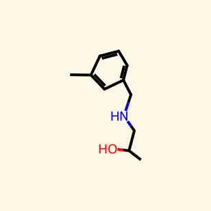 Cc1cccc(CNCC(C)O)c1